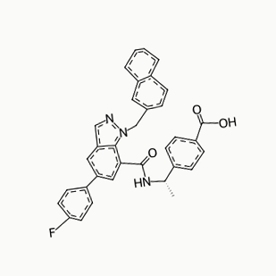 C[C@H](NC(=O)c1cc(-c2ccc(F)cc2)cc2cnn(Cc3ccc4ccccc4c3)c12)c1ccc(C(=O)O)cc1